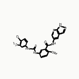 COc1ccc(NC(=O)Nc2ccc(Cl)c(C(F)(F)F)c2)cc1C(=O)Nc1cnc2[nH]ncc2c1